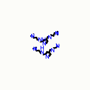 CN(C)CCCN=Cc1ccnc(CNCCCN(C)C)c1.CN(C)CCCNCc1cc(C=NCCN(C)C)ccn1